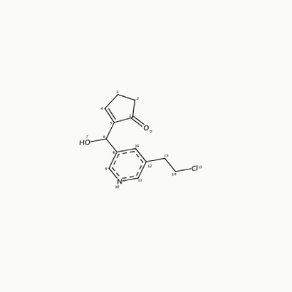 O=C1CCC=C1C(O)c1cncc(CCCl)c1